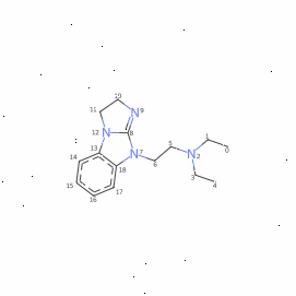 CCN(CC)CCN1C2=NCCN2c2ccccc21